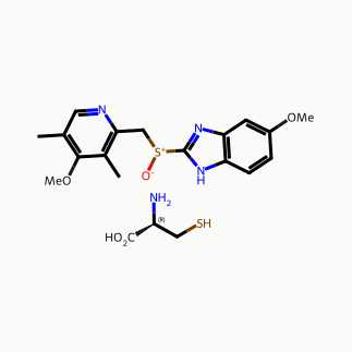 COc1ccc2[nH]c([S+]([O-])Cc3ncc(C)c(OC)c3C)nc2c1.N[C@@H](CS)C(=O)O